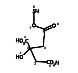 O=C(O)CC(O)(CC(=O)OS)C(=O)O